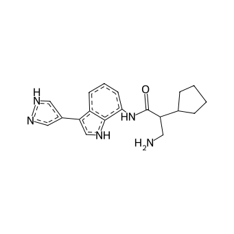 NCC(C(=O)Nc1cccc2c(-c3cn[nH]c3)c[nH]c12)C1CCCC1